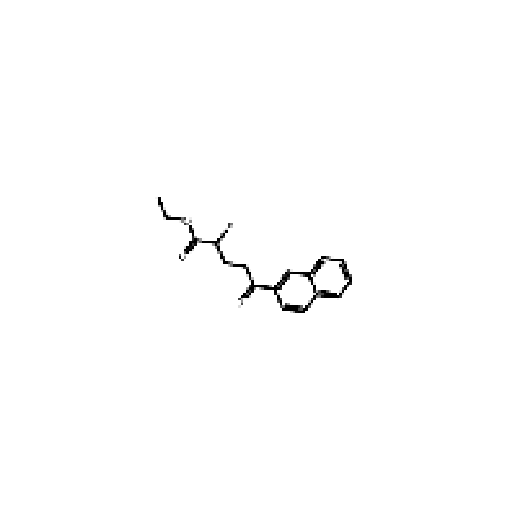 CCOC(=O)C(F)CCC(=O)c1ccc2ccccc2c1